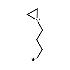 CCCCCC[N+]1CC1